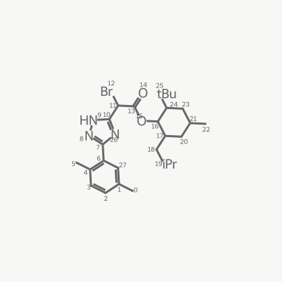 Cc1ccc(C)c(-c2n[nH]c(C(Br)C(=O)OC3C(CC(C)C)CC(C)CC3C(C)(C)C)n2)c1